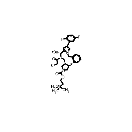 CC(C)(C)[C@H](c1cc(-c2cc(F)ccc2F)cn1Cc1ccccc1)N(C[C@@H]1CN(C(=O)OCC[Si](C)(C)C)C[C@@H]1F)C(=O)CCl